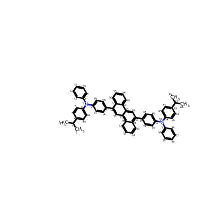 CC(C)c1ccc(N(c2ccccc2)c2ccc(-c3cc4c5ccccc5c(-c5ccc(N(c6ccccc6)c6ccc(C(C)C)cc6)cc5)cc4c4ccccc34)cc2)cc1